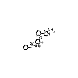 Nc1nccc(-c2cccnc2Oc2ccc(N[S+]([O-])Cc3ccccc3)c(F)c2F)n1